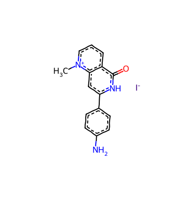 C[n+]1cccc2c(=O)[nH]c(-c3ccc(N)cc3)cc21.[I-]